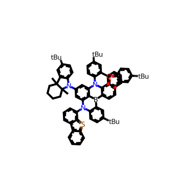 CC(C)(C)c1ccc2c(c1)B1c3ccc4c(oc5ccc(C(C)(C)C)cc54)c3N(c3ccc(C(C)(C)C)cc3-c3ccccc3)c3cc(N4c5ccc(C(C)(C)C)cc5C5(C)CCCCC45C)cc(c31)N2c1cccc2c1sc1ccccc12